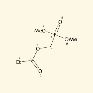 CCC(=O)OCP(=O)(OC)OC